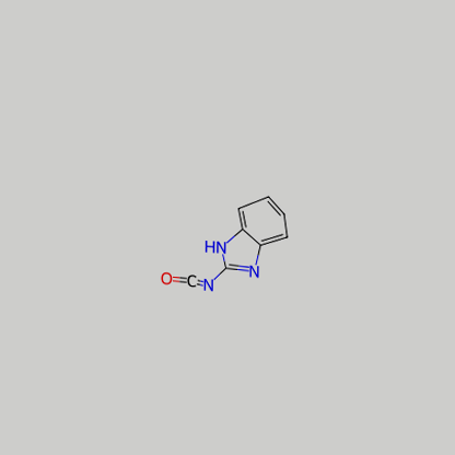 O=C=Nc1nc2ccccc2[nH]1